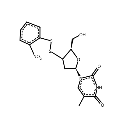 Cc1cn([C@H]2CC(SSc3ccccc3[N+](=O)[O-])[C@@H](CO)O2)c(=O)[nH]c1=O